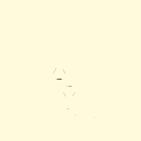 CCCCCCCCCCOc1ccc(-c2ccc(OC(=O)C(F)(CC)CCCC)cc2)cc1